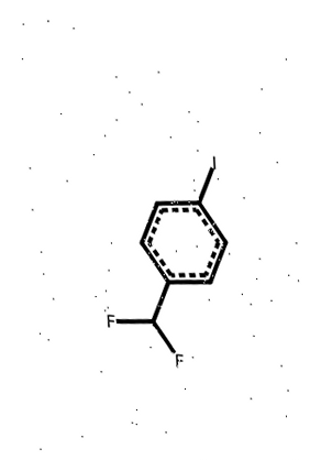 F[C](F)c1ccc(I)cc1